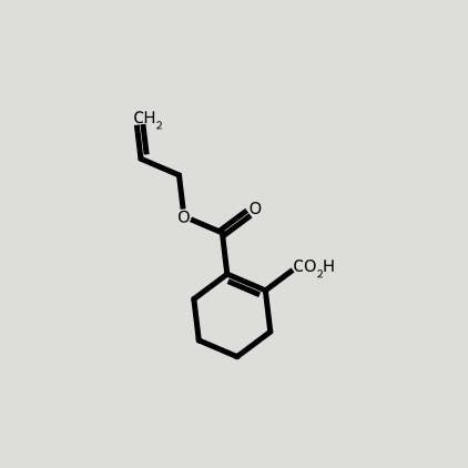 C=CCOC(=O)C1=C(C(=O)O)CCCC1